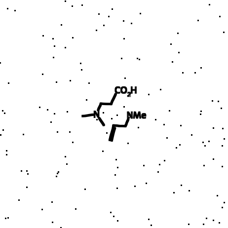 C=CCNC.CN(C)CCC(=O)O